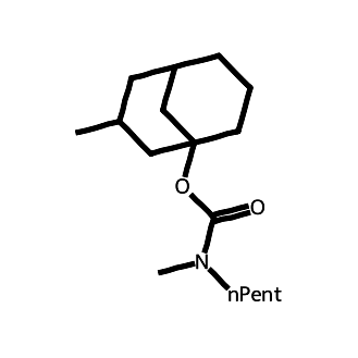 CCCCCN(C)C(=O)OC12CCCC(CC(C)C1)C2